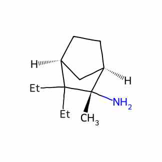 CCC1(CC)[C@H]2CC[C@H](C2)[C@]1(C)N